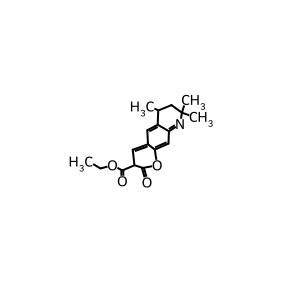 CCOC(=O)C1C=c2cc3c(cc2OC1=O)=NC(C)(C)CC3C